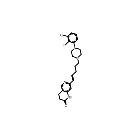 O=C1CCc2cnc(/C=C/CCCN3CCN(c4cccc(Cl)c4Cl)CC3)cc2N1